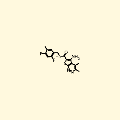 Cc1cc(CNC(=O)c2sc3nnc(C)c(C)c3c2N)c(F)cc1F